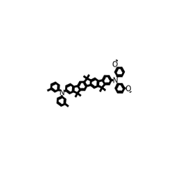 COc1cccc(N(c2cccc(OC)c2)c2ccc3c(c2)C(C)(C)c2cc4c(cc2-3)C(C)(C)c2cc3c(cc2-4)C(C)(C)c2cc(N(c4cccc(C)c4)c4cccc(C)c4)ccc2-3)c1